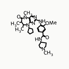 COc1cc(C(=O)NC2CCN(C)CC2)ccc1Nc1ncc2c(n1)N(C1CCCC1)C(C)C(C)C(=O)N2C